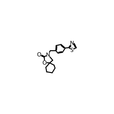 O=C1OC2(CCCCC2)CN1Cc1ccc(-c2nccs2)cc1